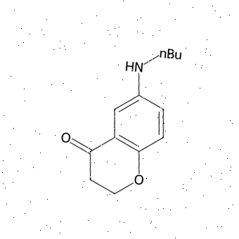 CCCCNc1ccc2c(c1)C(=O)CCO2